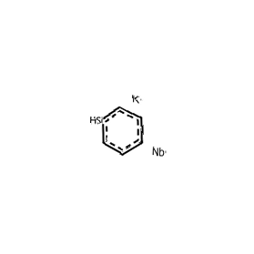 [K].[Nb].c1cc[siH]cc1